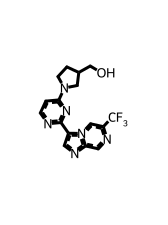 OCC1CCN(c2ccnc(-c3cnc4cnc(C(F)(F)F)cn34)n2)C1